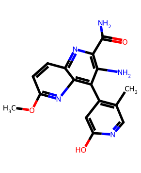 COc1ccc2nc(C(N)=O)c(N)c(-c3cc(O)ncc3C)c2n1